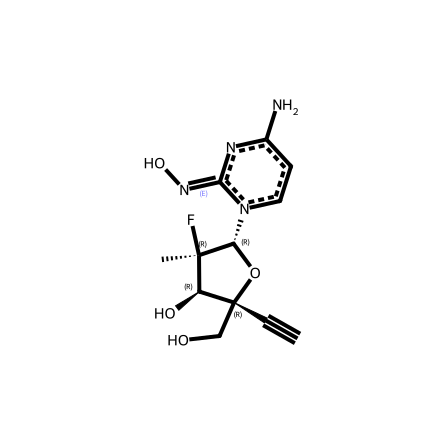 C#C[C@]1(CO)O[C@@H](n2ccc(N)n/c2=N\O)[C@](C)(F)[C@@H]1O